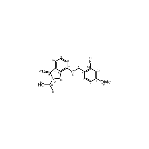 COc1ccc(COc2cccc3c2CN(C(C)O)C3=O)c(F)c1